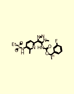 CCS(=O)(=O)Nc1ccc(-c2nnn(C)c2NC(=O)O[C@H](C)c2cccc(F)c2)nc1C